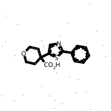 O=C(O)C1(c2cnc(-c3ccccc3)s2)CCOCC1